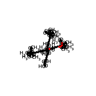 CC(=O)N[C@H]1[C@H](OCCCCCCNC(=O)CCOC2[C@H](OCCC(=O)NCCCCCCO[C@@H]3O[C@H](COC(C)=O)[C@H](OC(C)=O)[C@H](OC(C)=O)[C@H]3NC(C)=O)CC(C(=O)NCCCCCCNC(=O)CCC(=O)O)C[C@H]2OCCC(=O)NCCCCCCO[C@@H]2O[C@H](COC(C)=O)[C@H](OC(C)=O)[C@H](OC(C)=O)[C@H]2NC(C)=O)O[C@H](COC(C)=O)[C@H](OC(C)=O)[C@@H]1OC(C)=O